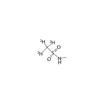 [2H]C([2H])([2H])S(=O)(=O)NC